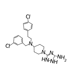 NC1N=C(N2CCC(N(CCc3ccc(Cl)cc3)Cc3cccc(Cl)c3)CC2)NN1